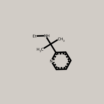 CCNC(C)(C)c1ccccn1